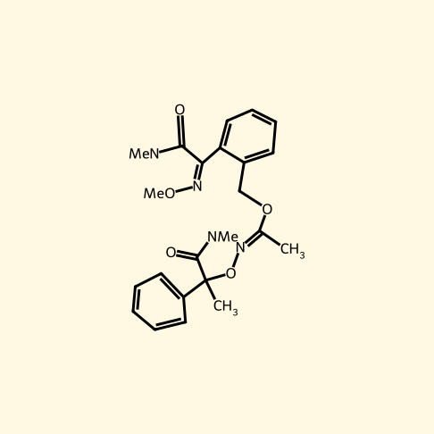 CNC(=O)C(=NOC)c1ccccc1COC(C)=NOC(C)(C(=O)NC)c1ccccc1